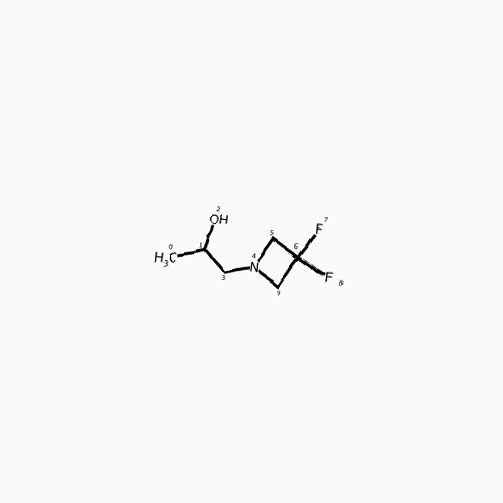 CC(O)CN1CC(F)(F)C1